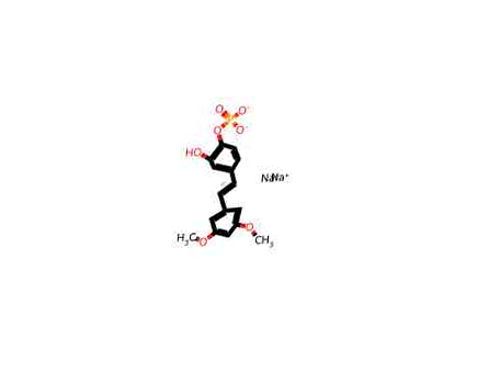 COc1cc(/C=C/c2ccc(OP(=O)([O-])[O-])c(O)c2)cc(OC)c1.[Na+].[Na+]